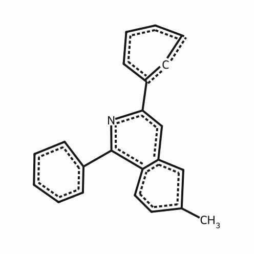 Cc1ccc2c(-c3ccccc3)nc(-c3ccccc3)cc2c1